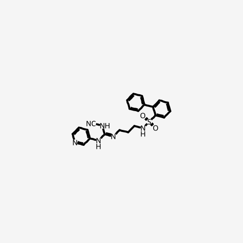 N#CN/C(=N\CCCNS(=O)(=O)c1ccccc1-c1ccccc1)Nc1cccnc1